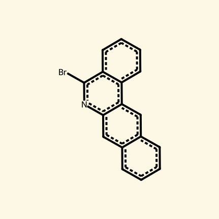 Brc1nc2cc3ccccc3cc2c2ccccc12